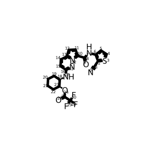 N#Cc1sccc1NC(=O)c1ccc2ccc(N[C@@H]3CCCC[C@@H]3OC(=O)C(F)(F)F)nn12